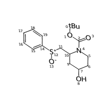 CC(C)(C)OC(=O)N1CCC(O)CC1C[S+]([O-])c1ccccc1